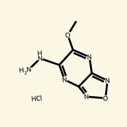 COc1nc2nonc2nc1NN.Cl